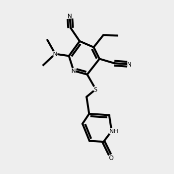 CCc1c(C#N)c(SCc2ccc(=O)[nH]c2)nc(N(C)C)c1C#N